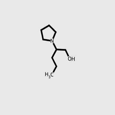 CCCC(CO)N1CCCC1